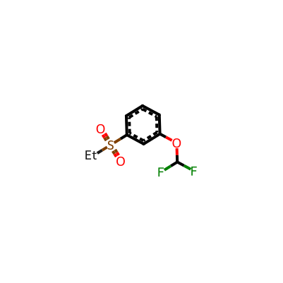 [CH2]CS(=O)(=O)c1cccc(OC(F)F)c1